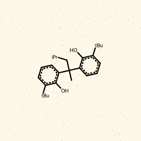 CC(C)CC(C)(c1cccc(C(C)(C)C)c1O)c1cccc(C(C)(C)C)c1O